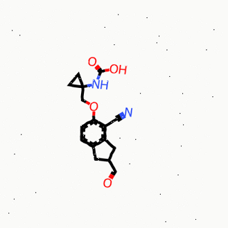 N#Cc1c(OCC2(NC(=O)O)CC2)ccc2c1CC(C=O)C2